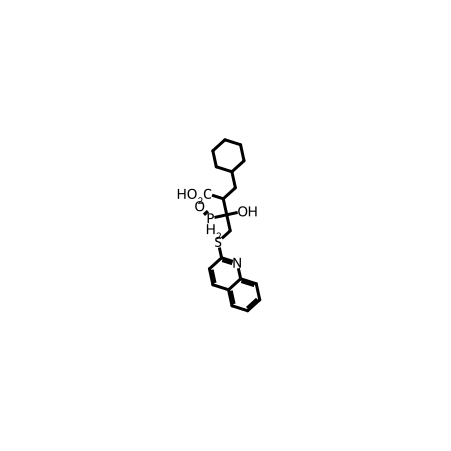 O=[PH2]C(O)(CSc1ccc2ccccc2n1)C(CC1CCCCC1)C(=O)O